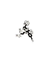 COC(=O)c1cnn2c(NCCC(C)C)c(-c3ccc(C#N)cc3Cl)c(Cl)nc12